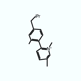 Cc1ccc(-c2ccc(CC(C)C)cc2C)[n+](C)c1